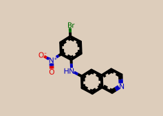 O=[N+]([O-])c1cc(Br)ccc1Nc1ccc2cnccc2c1